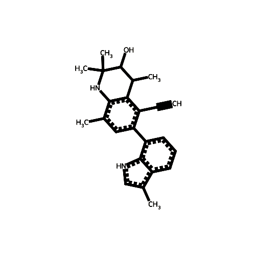 C#Cc1c(-c2cccc3c(C)c[nH]c23)cc(C)c2c1C(C)C(O)C(C)(C)N2